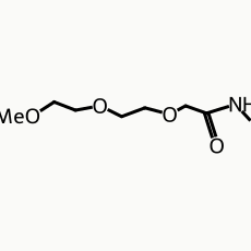 COCCOCCOCC(=O)NI